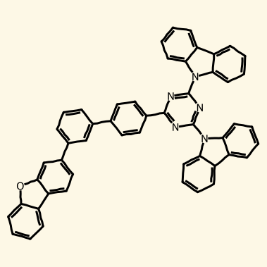 c1cc(-c2ccc(-c3nc(-n4c5ccccc5c5ccccc54)nc(-n4c5ccccc5c5ccccc54)n3)cc2)cc(-c2ccc3c(c2)oc2ccccc23)c1